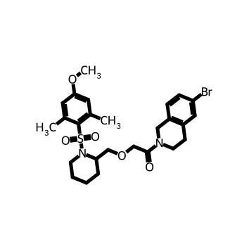 COc1cc(C)c(S(=O)(=O)N2CCCCC2COCC(=O)N2CCc3cc(Br)ccc3C2)c(C)c1